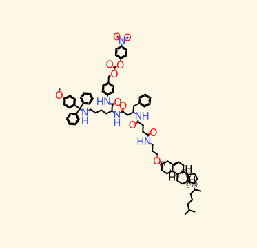 COc1ccc(C(NCCCCC(NC(=O)CC(Cc2ccccc2)NC(=O)CCC(=O)NCCCO[C@H]2CC[C@@]3(C)C(=CC[C@H]4[C@@H]5CC[C@H](C(C)CCCC(C)C)[C@@]5(C)CC[C@@H]43)C2)C(=O)Nc2ccc(COC(=O)Oc3ccc([N+](=O)[O-])cc3)cc2)(c2ccccc2)c2ccccc2)cc1